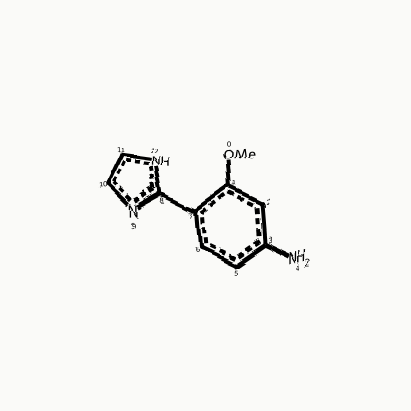 COc1cc(N)ccc1-c1ncc[nH]1